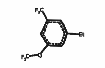 CCc1cc(OC(F)(F)F)cc(C(F)(F)F)c1